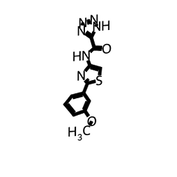 COc1cccc(-c2nc(NC(=O)c3nnn[nH]3)cs2)c1